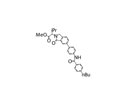 CCCCc1ccc(C(=O)Nc2ccc(-c3ccc4c(c3)C(=O)N(C(C(=O)OC)C(C)C)C4)cc2)cc1